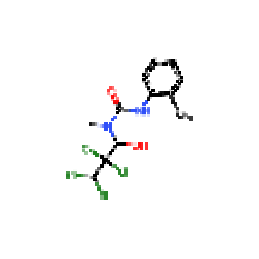 CN(C(=O)Nc1ccccc1C(F)(F)F)C(O)C(Cl)(Cl)C(Cl)Cl